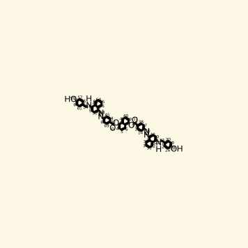 O=C(Oc1cccc2c(OC(=O)c3ccc(N=Nc4ccc(NCc5ccc(O)cc5)c5ccccc45)cc3)cccc12)c1ccc(N=Nc2ccc(NCc3ccc(O)cc3)c3ccccc23)cc1